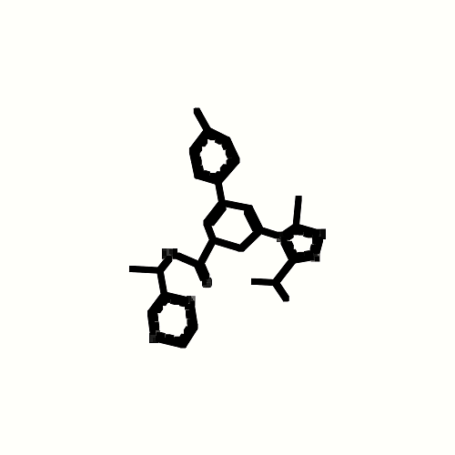 Cc1ccc(C2=CC(C(=O)NC(C)c3cnccn3)CC(n3c(C)nnc3C(C)C)=C2)cc1